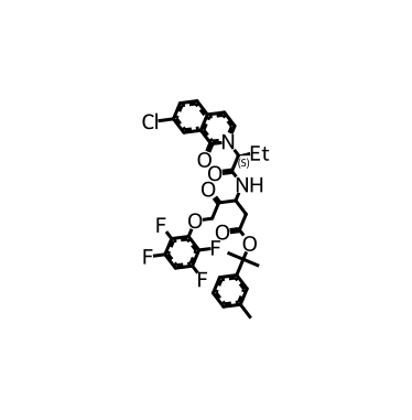 CC[C@@H](C(=O)NC(CC(=O)OC(C)(C)c1cccc(C)c1)C(=O)COc1c(F)c(F)cc(F)c1F)n1ccc2ccc(Cl)cc2c1=O